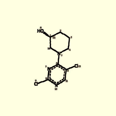 O[C@H]1CCCN(c2nc(Cl)ncc2Cl)C1